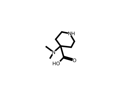 CN(C)C1(C(=O)O)CCNCC1